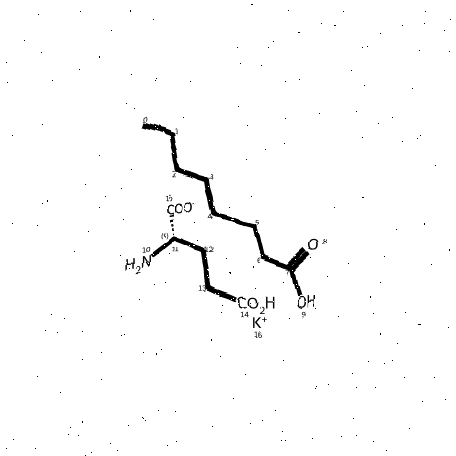 CCCCCCCC(=O)O.N[C@@H](CCC(=O)O)C(=O)[O-].[K+]